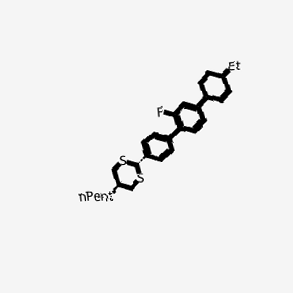 CCCCC[C@H]1CS[C@H](c2ccc(-c3ccc(C4CCC(CC)CC4)cc3F)cc2)SC1